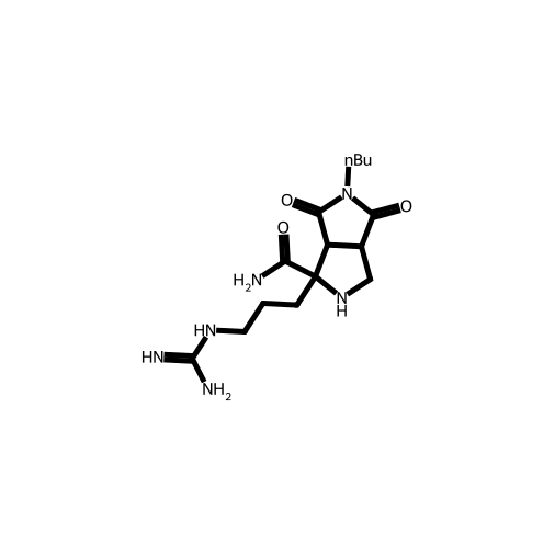 CCCCN1C(=O)C2CNC(CCCNC(=N)N)(C(N)=O)C2C1=O